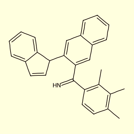 Cc1ccc(C(=N)c2cc3ccccc3cc2C2C=Cc3ccccc32)c(C)c1C